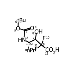 CCC[C@H](NC(=O)OC(C)(C)C)C(O)C(F)(F)C(=O)O